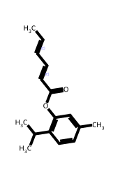 C/C=C/C=C/C(=O)Oc1cc(C)ccc1C(C)C